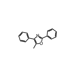 Cc1oc(-c2ccccc2)nc1-c1ccccc1